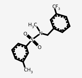 Cc1cccc(S(=O)(=O)N(C)Cc2cccc(C(F)(F)F)c2)c1